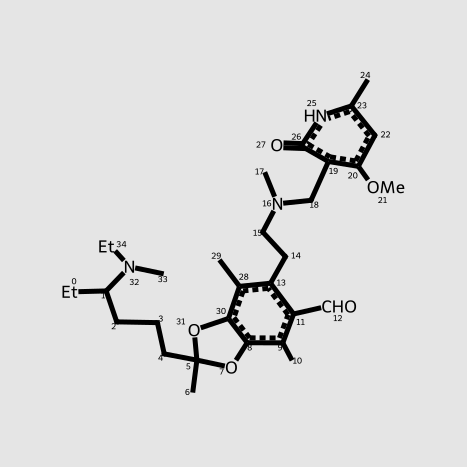 CCC(CCCC1(C)Oc2c(C)c(C=O)c(CCN(C)Cc3c(OC)cc(C)[nH]c3=O)c(C)c2O1)N(C)CC